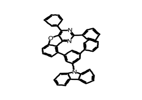 c1ccc(-c2cc(-c3cccc4oc5c(-c6ccccc6)nc(-c6ccccc6)nc5c34)cc(-n3c4ccccc4c4ccccc43)c2)cc1